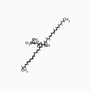 CCCCCC=CCC=CCCCCCCCC(O)C(CCCCCCCC=CCC=CCCCCC)OC(=O)CC[As](C)C